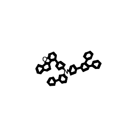 c1ccc(-c2cccc(N(c3ccc(-c4ccc(-c5ccccc5)c(-c5ccccc5)c4)cc3)c3ccc(-c4cccc5oc6c7ccccc7ccc6c45)cc3)c2)cc1